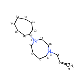 C=CCN1CCCCN(C2CCCCCCC2)CC1